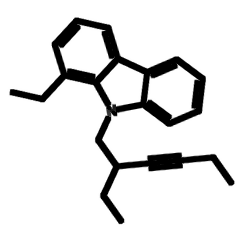 CCC#CC(CC)Cn1c2ccccc2c2cccc(CC)c21